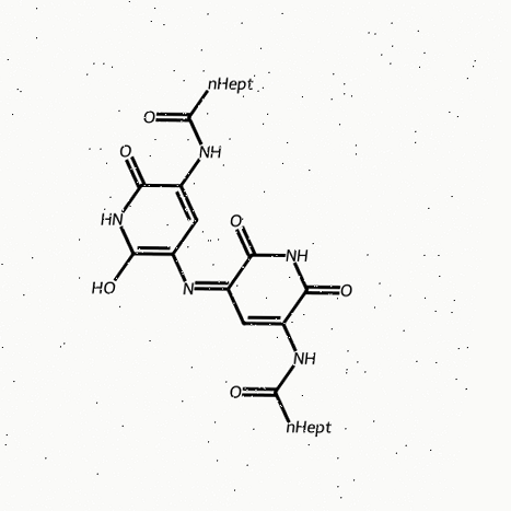 CCCCCCCC(=O)NC1=CC(=Nc2cc(NC(=O)CCCCCCC)c(=O)[nH]c2O)C(=O)NC1=O